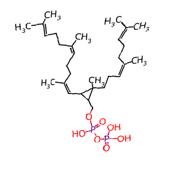 CC(C)=CCCC(C)=CCCC(C)=CC1C(COP(=O)(O)OP(=O)(O)O)C1(C)CCC=C(C)CCC=C(C)C